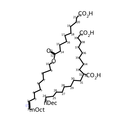 CCCCCCCC/C=C\CCCCCCCCOC(=O)CCCCCCCCC(=O)O.CCCCCCCCCCCCCCCCCCC(CCCCCCCC(=O)O)C(=O)O